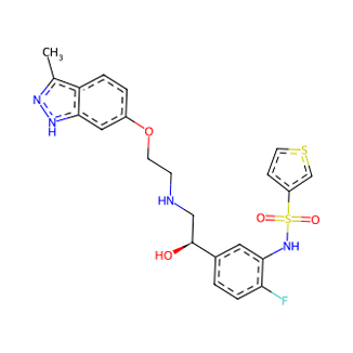 Cc1n[nH]c2cc(OCCNC[C@H](O)c3ccc(F)c(NS(=O)(=O)c4ccsc4)c3)ccc12